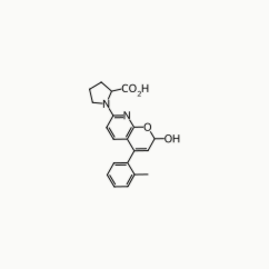 Cc1ccccc1C1=CC(O)Oc2nc(N3CCCC3C(=O)O)ccc21